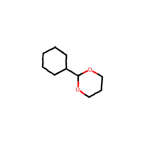 C1CCC([C]2OCCCO2)CC1